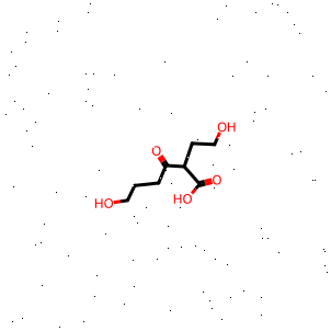 O=C(O)C(CCO)C(=O)CCCO